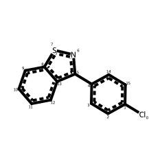 Clc1ccc(-c2nsc3ccccc23)cc1